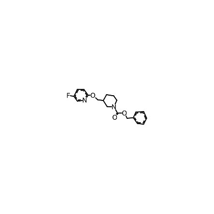 O=C(OCc1ccccc1)N1CCCC(COc2ccc(F)cn2)C1